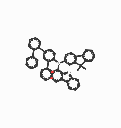 CC1(C)c2ccccc2-c2ccc(N(c3ccc(-c4ccccc4-c4ccccc4)cc3-c3ccccc3)c3cccc4c3oc3ccccc34)cc21